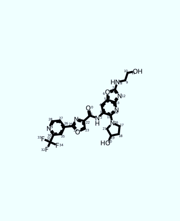 O=C(Nc1cc2oc(NCCO)nc2nc1N1CCC(O)C1)c1coc(-c2ccnc(C(F)(F)F)c2)n1